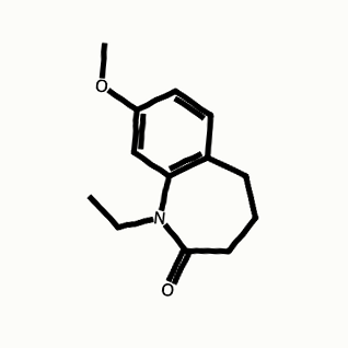 CCN1C(=O)CCCc2ccc(OC)cc21